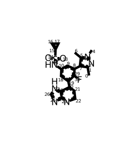 Cc1nn(C)c(C)c1-c1cc(NS(=O)(=O)C2=CC2)cc(-c2ccnc3nc[nH]c23)c1F